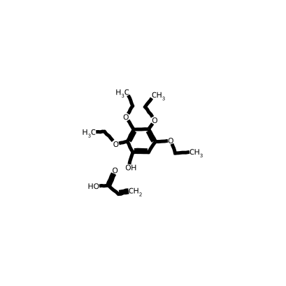 C=CC(=O)O.CCOc1cc(O)c(OCC)c(OCC)c1OCC